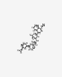 CC1CN(c2ccc(C#N)c3ncccc23)CC(CN2CC3(C2)CN(c2ccnc(C4CC4)c2)CCO3)O1